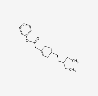 CCC(CC)CCC1CC=C(CC(=O)Oc2ccccc2)CC1